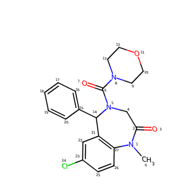 CN1C(=O)CN(C(=O)N2CCOCC2)C(c2ccccc2)c2cc(Cl)ccc21